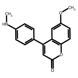 CNc1ccc(-c2cc(=O)oc3ccc(OC)cc23)cc1